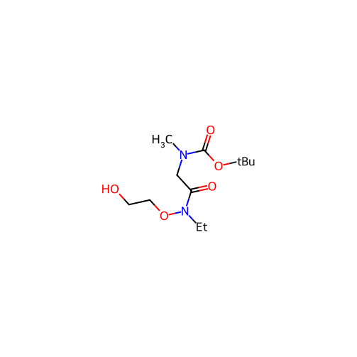 CCN(OCCO)C(=O)CN(C)C(=O)OC(C)(C)C